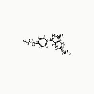 COc1ccc(-c2n[nH]c3nc(N)sc23)cc1